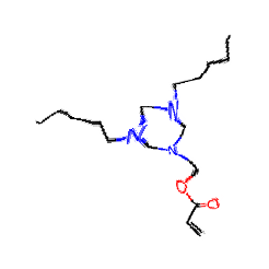 C=CC(=O)OCN1CN(CCCCC)CN(CCCCC)C1